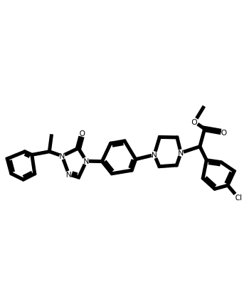 COC(=O)C(c1ccc(Cl)cc1)N1CCN(c2ccc(-n3cnn(C(C)c4ccccc4)c3=O)cc2)CC1